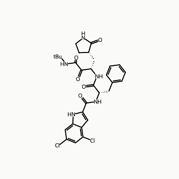 CC(C)(C)NC(=O)C(=O)[C@H](C[C@@H]1CCNC1=O)NC(=O)[C@H](Cc1ccccc1)NC(=O)c1cc2c(Cl)cc(Cl)cc2[nH]1